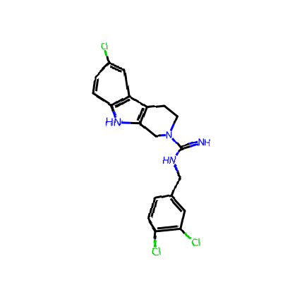 N=C(NCc1ccc(Cl)c(Cl)c1)N1CCc2c([nH]c3ccc(Cl)cc23)C1